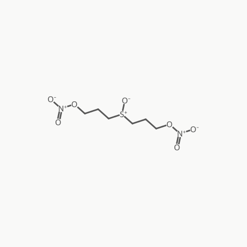 O=[N+]([O-])OCCC[S+]([O-])CCCO[N+](=O)[O-]